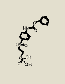 O=C(Nc1ccc(S(=O)(=O)CCOP(=O)(O)O)cc1)Oc1ccccc1